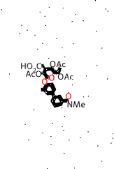 CNC(=O)c1cccc(-c2ccc(O[C@H]3O[C@H]([C@H](C)OC(C)=O)[C@H](OC(C)=O)[C@H](CC(=O)O)[C@@H]3OC(C)=O)c(C)c2)c1